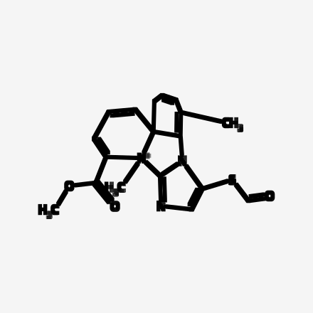 COC(=O)C1=CC=CC23CC=CC(C)=C2n2c(SC=O)cnc2[N+]13C